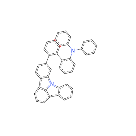 c1ccc(N(c2ccccc2)c2ccccc2-c2ccccc2-c2ccc3c4cccc5c6ccccc6n(c3c2)c54)cc1